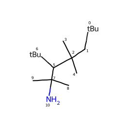 CC(C)(C)CC(C)(C)C(C(C)(C)C)C(C)(C)N